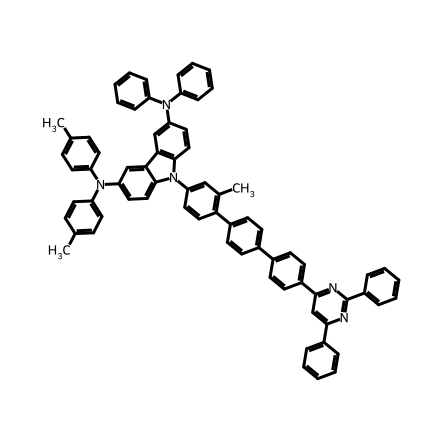 Cc1ccc(N(c2ccc(C)cc2)c2ccc3c(c2)c2cc(N(c4ccccc4)c4ccccc4)ccc2n3-c2ccc(-c3ccc(-c4ccc(-c5cc(-c6ccccc6)nc(-c6ccccc6)n5)cc4)cc3)c(C)c2)cc1